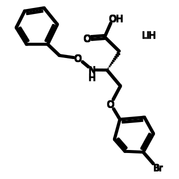 O=C(O)C[C@H](COc1ccc(Br)cc1)NOCc1ccccc1.[LiH]